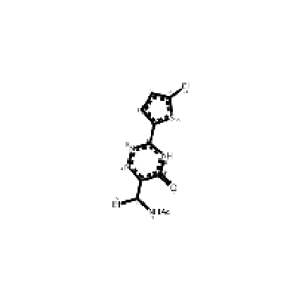 CCC(NC(C)=O)c1nnc(-c2ccc(Cl)s2)[nH]c1=O